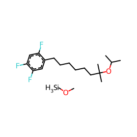 CC(C)OC(C)(C)CCCCCCc1cc(F)c(F)cc1F.CO[SiH3]